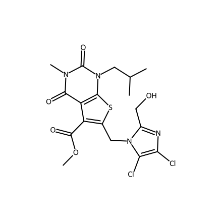 COC(=O)c1c(Cn2c(CO)nc(Cl)c2Cl)sc2c1c(=O)n(C)c(=O)n2CC(C)C